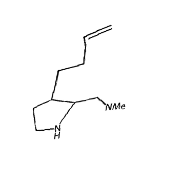 C=CCCC1CCNC1CNC